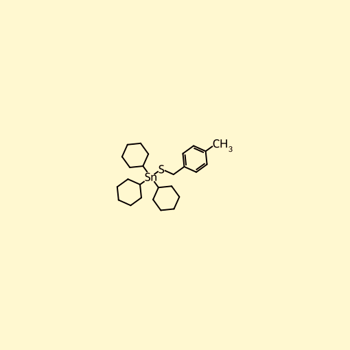 Cc1ccc(C[S][Sn]([CH]2CCCCC2)([CH]2CCCCC2)[CH]2CCCCC2)cc1